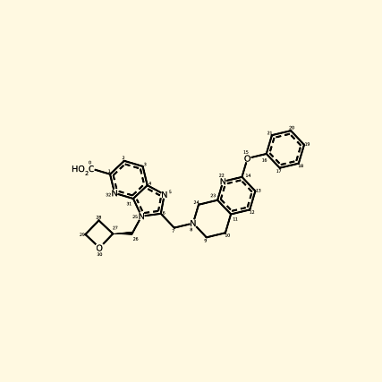 O=C(O)c1ccc2nc(CN3CCc4ccc(Oc5ccccc5)nc4C3)n(C[C@@H]3CCO3)c2n1